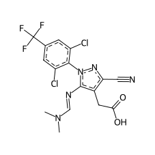 CN(C)C=Nc1c(CC(=O)O)c(C#N)nn1-c1c(Cl)cc(C(F)(F)F)cc1Cl